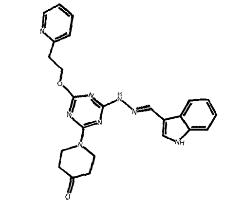 O=C1CCN(c2nc(NN=Cc3c[nH]c4ccccc34)nc(OCCc3ccccn3)n2)CC1